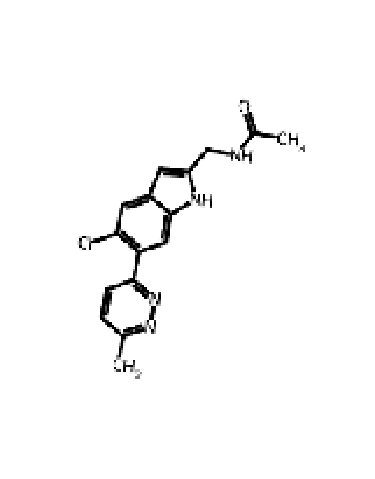 CC(=O)NCc1cc2cc(Cl)c(-c3ccc(C)nn3)cc2[nH]1